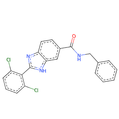 O=C(NCc1ccccc1)c1ccc2nc(-c3c(Cl)cccc3Cl)[nH]c2c1